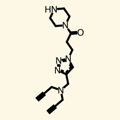 C#CCN(CC#C)Cc1cn(CCC(=O)N2CCNCC2)nn1